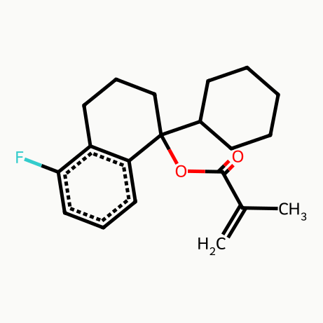 C=C(C)C(=O)OC1(C2CCCCC2)CCCc2c(F)cccc21